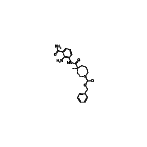 CC1(C(=O)Nc2cccc(C(N)=O)c2N)CCCN(C(=O)OCc2ccccc2)CC1